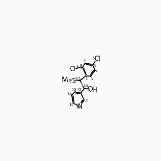 CSC(c1ccc(Cl)cc1Cl)C(O)c1cccnc1